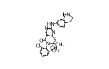 CC1(C)Sc2nc(Nc3ccc4c(c3)CNCC4)ncc2C(=O)N1c1c(Cl)cccc1Cl